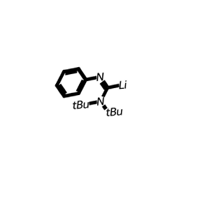 [Li][C](=Nc1ccccc1)N(C(C)(C)C)C(C)(C)C